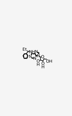 CC[C@H](Nc1ncnc2c1ncn2C1OC(CO)C(O)C1O)c1ccccc1